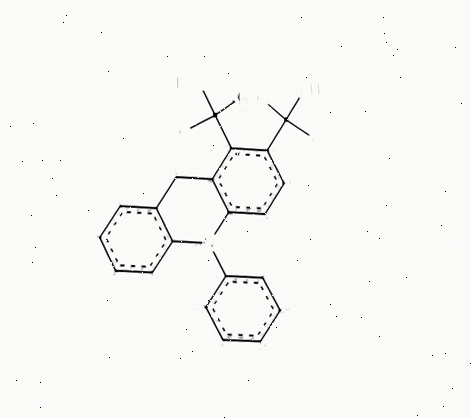 CC(C)(C)c1ccc2c(c1C(C)(C)C)Cc1ccccc1N2c1ccccc1